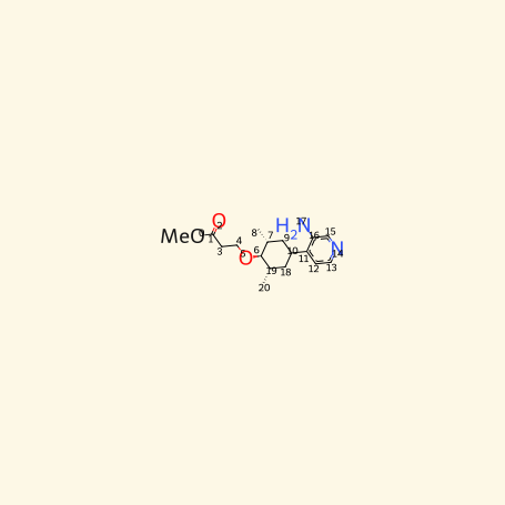 COC(=O)CCO[C@H]1[C@H](C)CC(c2ccncc2N)C[C@@H]1C